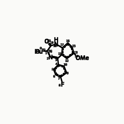 CC[C@H](C)[C@@H]1N=C(c2ccc(F)cc2)c2cc(OC)ccc2NC1=O